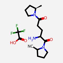 C[C@@H]1CCCN1C(=O)CCC(N)C(=O)N1CCCC1C#N.O=C(O)C(F)(F)F